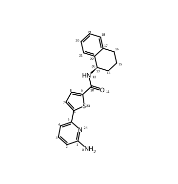 Nc1cccc(-c2ccc(C(=O)N[C@@H]3CCCc4ccccc43)s2)n1